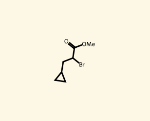 COC(=O)C(Br)CC1CC1